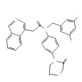 O=C1CNCCN1c1ccc(N(Cc2cc(F)cc(F)c2)C(=O)Cc2cncc3ccccc23)cc1